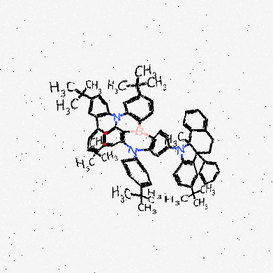 CC(C)(C)c1ccc(N2c3cc(N4c5ccc(C(C)(C)C)cc5C5(c6ccccc6)CCc6ccccc6C45C)ccc3B3c4ccc(C(C)(C)C)cc4N(c4ccc(C(C)(C)C)cc4-c4ccccc4)c4cc(C(C)(C)C)cc2c43)cc1